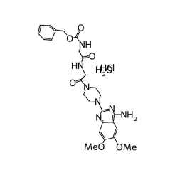 COc1cc2nc(N3CCN(C(=O)CNC(=O)CNC(=O)OCc4ccccc4)CC3)nc(N)c2cc1OC.Cl.O